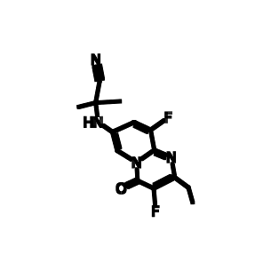 CCc1nc2c(F)cc(NC(C)(C)C#N)cn2c(=O)c1F